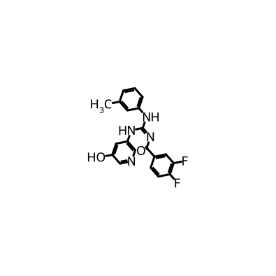 Cc1cccc(N/C(=N/C(=O)c2ccc(F)c(F)c2)Nc2cncc(O)c2)c1